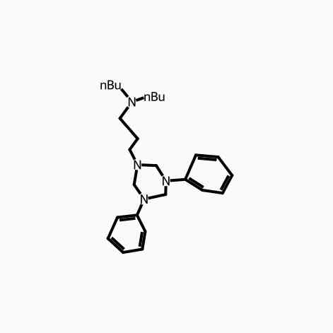 CCCCN(CCCC)CCCN1CN(c2ccccc2)CN(c2ccccc2)C1